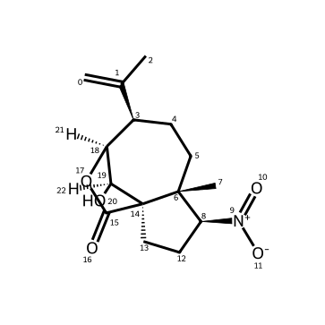 C=C(C)[C@H]1CC[C@]2(C)[C@@H]([N+](=O)[O-])CC[C@@]23C(=O)O[C@@H]1[C@@H]3O